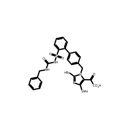 CCCCc1nc(SC)c(C(=O)C(=O)O)n1Cc1ccc(-c2ccccc2S(=O)(=O)NC(=O)NCc2ccccc2)cc1